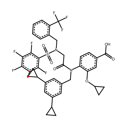 O=C(O)c1ccc(N(Cc2cc(C3CC3)cc(C3CC3)c2)C(=O)CN(Cc2ccccc2C(F)(F)F)S(=O)(=O)c2c(F)c(F)c(F)c(F)c2F)c(OC2CC2)c1